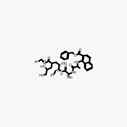 CCCC[C@H](NC(=O)C(C)Nc1c(C(=O)OCc2ccccc2)ccc2ccccc12)C(=O)N[C@@H](CC(C)C)[C@@H](O)CC(CC(O)CO)C(=O)NCC(C)C